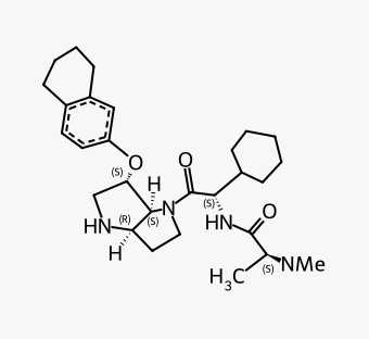 CN[C@@H](C)C(=O)N[C@H](C(=O)N1CC[C@H]2NC[C@H](Oc3ccc4c(c3)CCCC4)[C@H]21)C1CCCCC1